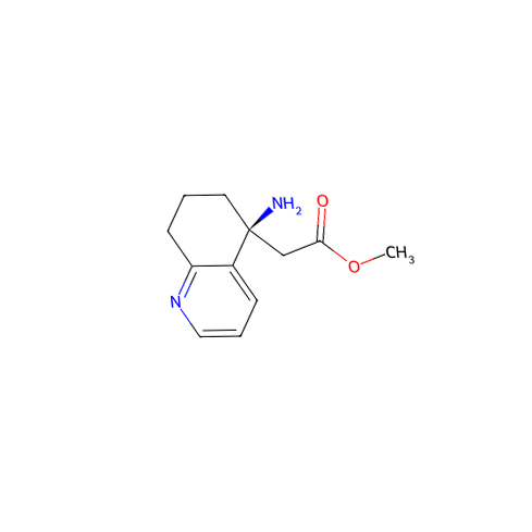 COC(=O)C[C@@]1(N)CCCc2ncccc21